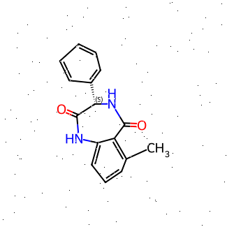 Cc1cccc2c1C(=O)N[C@@H](c1ccccc1)C(=O)N2